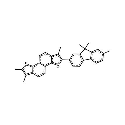 Cc1ccc2c(c1)C(C)(C)c1cc(-c3sc4c(ccc5c4ccc4c(C)c(C)sc45)c3C)ccc1-2